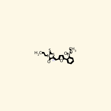 C=CCN1C(=O)/C(=C/c2ccc(-c3ccccc3[N+](=O)OC)o2)SC1=S